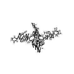 Cc1nn(-c2ccccc2)c(O)c1N=Nc1ccc(-c2ccc(N=Nc3c(C)nn(-c4ccccc4)c3O)cc2S(=O)(=O)N=[N+]=[N-])c(S(=O)(=O)N=[N+]=[N-])c1